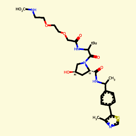 Cc1ncsc1-c1ccc(C(C)NC(=O)[C@@H]2C[C@@H](O)CN2C(=O)C(NC(=O)COCCOCCNC(=O)O)C(C)(C)C)cc1